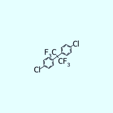 FC(F)(F)C(c1ccc(Cl)cc1)(c1ccc(Cl)cc1)C(F)(F)F